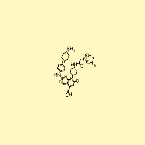 C#Cc1cc(=O)n(C2CCC(NC(=O)CN(C)C)CC2)c2nc(Nc3ccc(N4CCN(C)CC4)cc3)ncc12